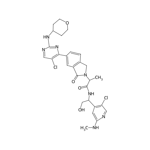 CNc1cc(C(CO)NC(=O)C(C)N2Cc3ccc(-c4nc(NC5CCOCC5)ncc4Cl)cc3C2=O)c(Cl)cn1